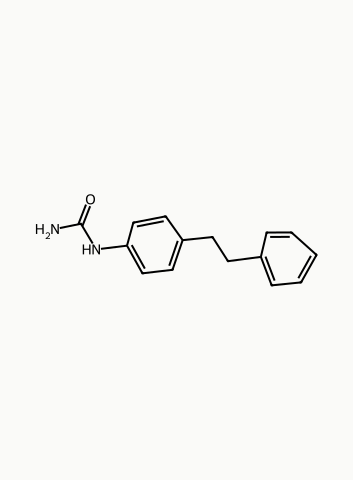 NC(=O)Nc1ccc(CCc2ccccc2)cc1